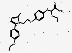 CCOc1ccc(-c2ccc(C)n2CCOc2ccc(CC(OCC)C(=O)O)cc2)cc1